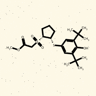 COC(=O)CS(=O)(=O)[C@@H]1CCC[C@@H]1Sc1cc(C(C)(C)C)c(O)c(C(C)(C)C)c1